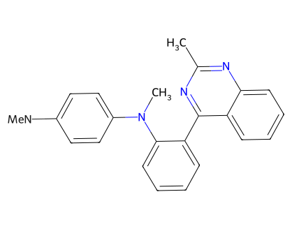 CNc1ccc(N(C)c2ccccc2-c2nc(C)nc3ccccc23)cc1